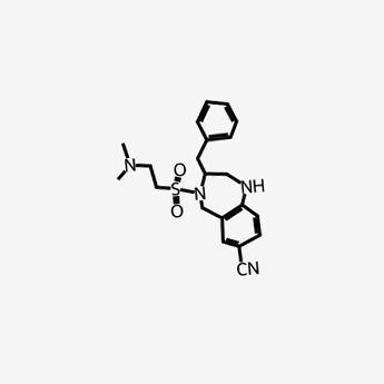 CN(C)CCS(=O)(=O)N1Cc2cc(C#N)ccc2NCC1Cc1ccccc1